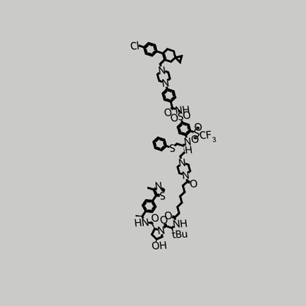 Cc1ncsc1-c1ccc([C@H](C)NC(=O)[C@@H]2C[C@@H](O)CN2C(=O)[C@@H](NC(=O)CCCCCCC(=O)N2CCN(CC[C@H](CSc3ccccc3)Nc3ccc(S(=O)(=O)NC(=O)c4ccc(N5CCN(CC6=C(c7ccc(Cl)cc7)CCC7(CC7)C6)CC5)cc4)cc3S(=O)(=O)C(F)(F)F)CC2)C(C)(C)C)cc1